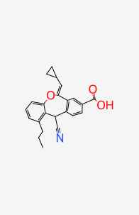 CCCc1cccc2c1C(C#N)c1ccc(C(=O)O)cc1C(=CC1CC1)O2